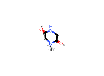 CC(C)N1CC(=O)NCC1=O